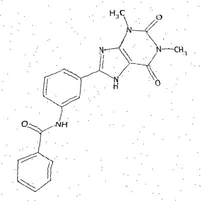 Cn1c(=O)c2[nH]c(-c3cccc(NC(=O)c4ccccc4)c3)nc2n(C)c1=O